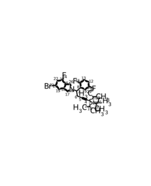 CC(C)[Si](C#CCC(c1cc(F)ccc1F)n1cc2cc(Br)cc(F)c2c1)(C(C)C)C(C)C